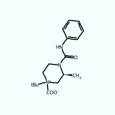 C[C@H]1C[N+](C(=O)[O-])(C(C)(C)C)CCN1C(=O)Nc1ccccc1